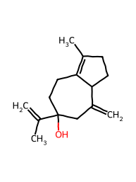 C=C1CC(O)(C(=C)C)CCC2=C(C)CCC12